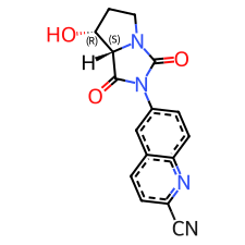 N#Cc1ccc2cc(N3C(=O)[C@@H]4[C@H](O)CCN4C3=O)ccc2n1